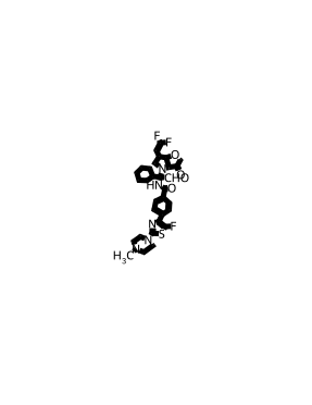 CN1CCN(c2nc(-c3ccc(C(=O)NC(C=O)(C4CCCCC4)N4CC(C=C(F)F)C5OCC(=O)C54)cc3)c(F)s2)CC1